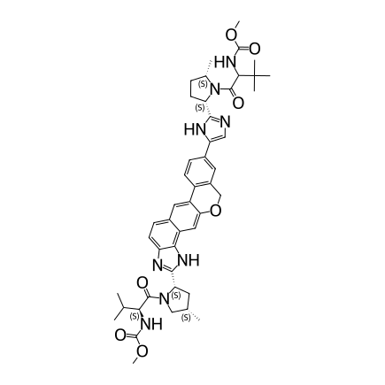 COC(=O)NC(C(=O)N1[C@@H](C)CC[C@H]1c1ncc(-c2ccc3c(c2)COc2cc4c(ccc5nc([C@@H]6C[C@H](C)CN6C(=O)[C@@H](NC(=O)OC)C(C)C)[nH]c54)cc2-3)[nH]1)C(C)(C)C